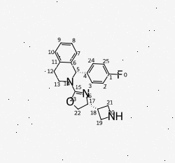 Fc1ccc([C@H]2c3ccccc3CCN2C2=N[C@H](C3CNC3)CO2)cc1